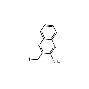 Nc1nc2ccccc2nc1CI